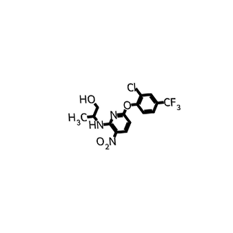 CC(CO)Nc1nc(Oc2ccc(C(F)(F)F)cc2Cl)ccc1[N+](=O)[O-]